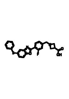 O=C(O)C1CN(Cc2ccc(-c3nc4cc(Sc5ccccc5)ccc4o3)c(F)c2)C1